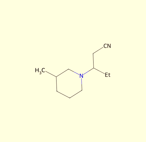 CCC(CC#N)N1CCCC(C)C1